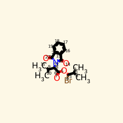 CC(C)C(Br)OC(=O)C(C(C)C)N1C(=O)c2ccccc2C1=O